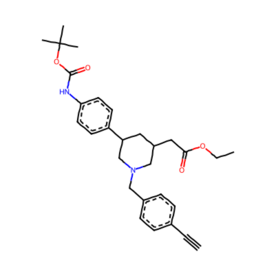 C#Cc1ccc(CN2CC(CC(=O)OCC)CC(c3ccc(NC(=O)OC(C)(C)C)cc3)C2)cc1